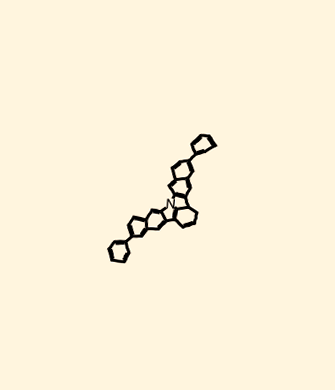 C1=Cc2c3n(c4cc5ccc(-c6ccccc6)cc5cc24)-c2cc4ccc(-c5ccccc5)cc4cc2C3C1